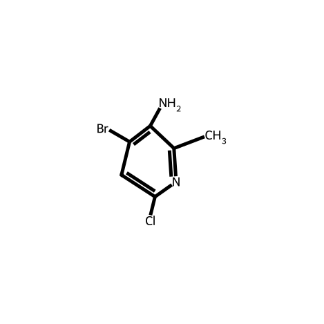 Cc1nc(Cl)cc(Br)c1N